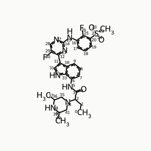 CCC(C(=O)Nc1cccc2c(-c3nc(Nc4cccc(S(C)(=O)=O)c4F)ncc3F)c[nH]c12)N1CC(C)N[C@H](C)C1